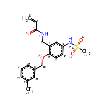 C=CC(=O)NCc1cc(NS(C)(=O)=O)ccc1OCc1cccc(C(F)(F)F)c1